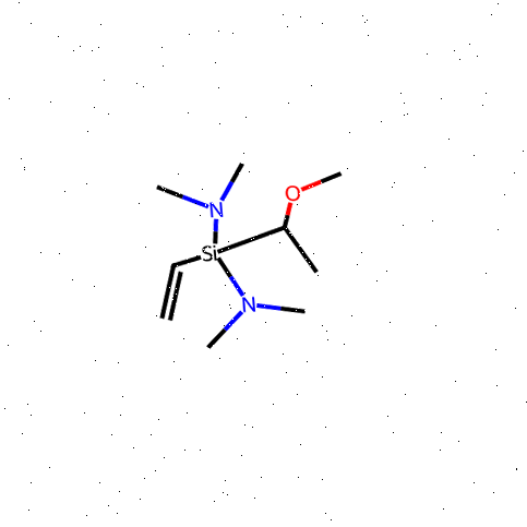 C=C[Si](C(C)OC)(N(C)C)N(C)C